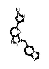 CCn1cc(-c2ccc3nnn(Cc4ccc5nccn5c4)c3n2)cn1